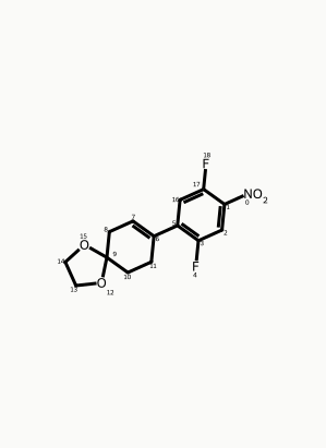 O=[N+]([O-])c1cc(F)c(C2=CCC3(CC2)OCCO3)cc1F